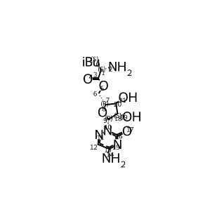 CC[C@H](C)[C@H](N)C(=O)OC[C@H]1O[C@@H](n2ncc(N)nc2=O)[C@@H](O)C1O